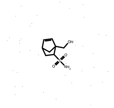 NS(=O)(=O)C1CC2C=CC1(CO)C2